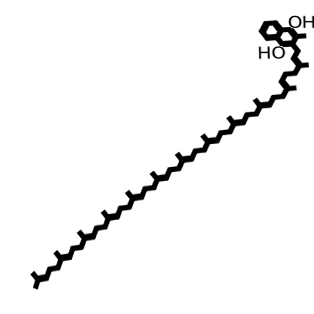 CC(C)=CCC/C(C)=C/CC/C(C)=C/CC/C(C)=C/CC/C(C)=C/CC/C(C)=C/CC/C(C)=C/CC/C(C)=C/CC/C(C)=C/CC/C(C)=C/CC/C(C)=C/CC/C(C)=C/Cc1c(C)c(O)c2ccccc2c1O